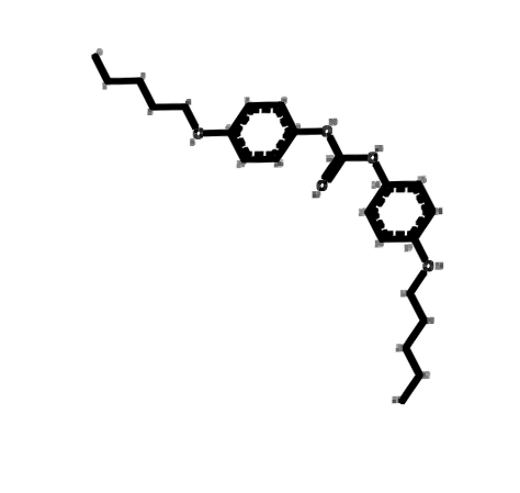 CCCCCOc1ccc(OC(=O)Oc2ccc(OCCCCC)cc2)cc1